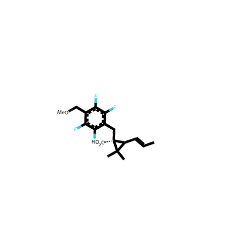 C/C=C/C1C(C)(C)[C@]1(Cc1c(F)c(F)c(COC)c(F)c1F)C(=O)O